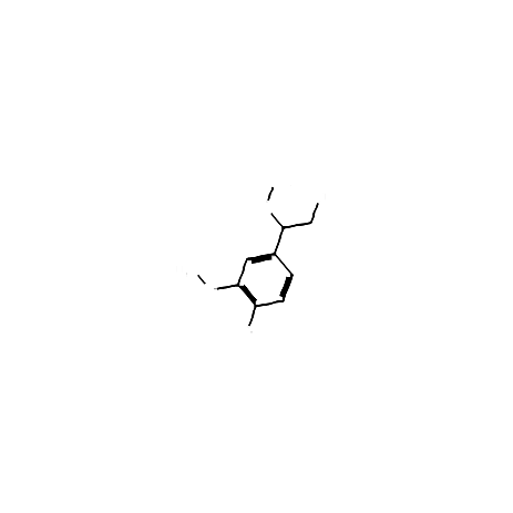 CCC(OC)c1ccc(O)c(OC)c1